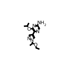 CCOC(C)n1cc(-c2ncc(N)nc2OC(C)C)cn1